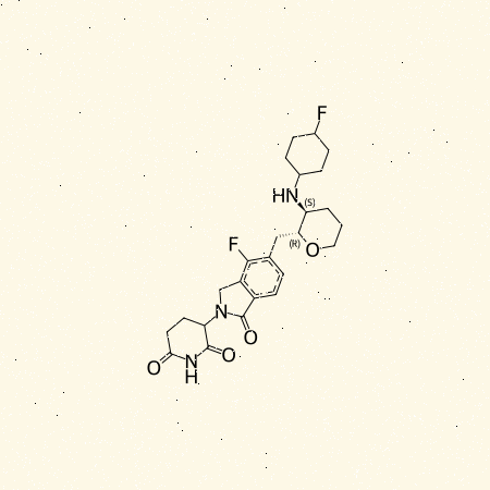 O=C1CCC(N2Cc3c(ccc(C[C@H]4OCCC[C@@H]4NC4CCC(F)CC4)c3F)C2=O)C(=O)N1